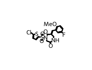 COc1ccc(F)cc1C=C1CNC(=O)CN(S(=O)(=O)c2ccc(Cl)s2)C1=O